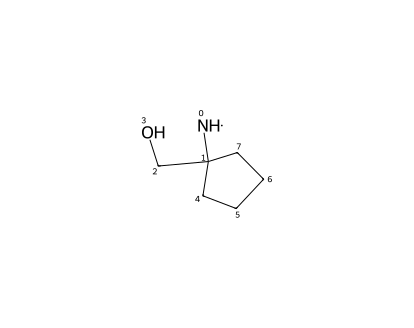 [NH]C1(CO)CCCC1